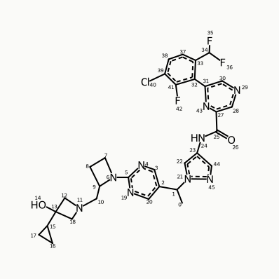 CC(c1cnc(N2CCC2CN2CC(O)(C3CC3)C2)nc1)n1cc(NC(=O)c2cncc(-c3c(C(F)F)ccc(Cl)c3F)n2)cn1